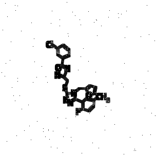 Cc1ccc(F)c(-c2nnc(SCc3noc(-c4cccc(Cl)c4)n3)n2Cc2ccco2)c1